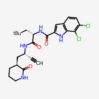 C#C[C@H](C[C@@H]1CCCNC1=O)NC(=O)[C@H](CC(C)(C)C)NC(=O)c1cc2ccc(Cl)c(Cl)c2[nH]1